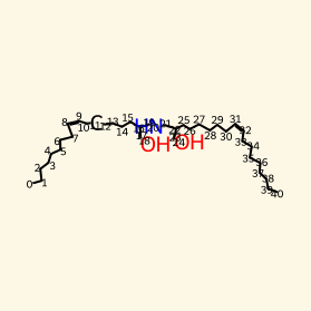 CCCCCCCC/C=C\CCCCCCC(CO)CNCC(CO)CCCCCC/C=C\CCCCCCCC